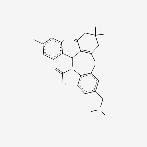 CC(=O)N1c2ccc(CN(C)C)cc2NC2=C(C(=O)CC(C)(C)C2)C1c1ccc(Cl)cc1Cl